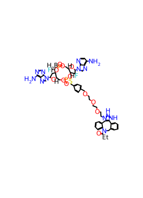 B[P@]1(=O)OC[C@H]2O[C@@H](n3cnc4c(N)ccnc43)[C@H](F)[C@@H]2O[P@](=O)(SCc2ccc(COCCOCCOCCN3NNC4=C3c3ccccc3N(C(=O)CC)Cc3ccccc34)cc2)OC[C@H]2O[C@@H](n3cnc4c(N)ncnc43)[C@H](F)[C@@H]2O1